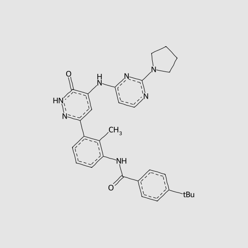 Cc1c(NC(=O)c2ccc(C(C)(C)C)cc2)cccc1-c1cc(Nc2ccnc(N3CCCC3)n2)c(=O)[nH]n1